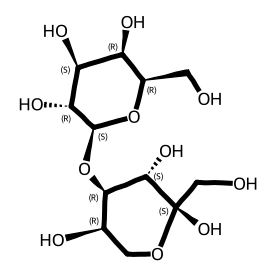 OC[C@H]1O[C@@H](O[C@@H]2[C@H](O)CO[C@@](O)(CO)[C@H]2O)[C@H](O)[C@@H](O)[C@H]1O